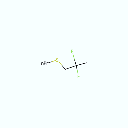 [CH2]CCSCC(C)(F)F